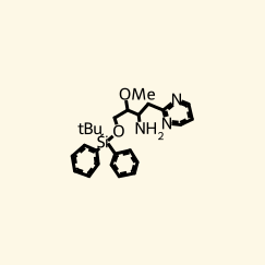 COC(CO[Si](c1ccccc1)(c1ccccc1)C(C)(C)C)C(N)Cc1ncccn1